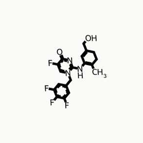 CC1=C(Nc2nc(=O)c(F)cn2Cc2cc(F)c(F)c(F)c2)C=C(CO)CC1